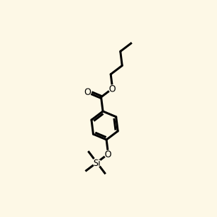 CCCCOC(=O)c1ccc(O[Si](C)(C)C)cc1